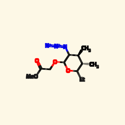 CCC1OC(OCC(=O)OC)C(N=[N+]=[N-])[C@@H](C)[C@@H]1C